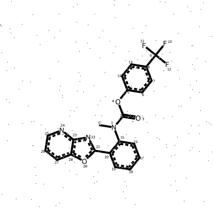 CN(C(=O)Oc1ccc(C(F)(F)F)cc1)c1ccccc1-c1nc2ncccc2o1